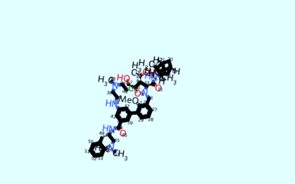 COc1c(CN2O[C@@H](CO)[C@H]([C@H](C)O)[C@H]2C(=O)N[C@H]2C[C@H]3C[C@@H]([C@@H]2C)C3(C)C)cccc1-c1cc(NCCN(C)CCCl)cc(C(=O)N[C@@H](Cc2ccccc2)CN(C)C)c1